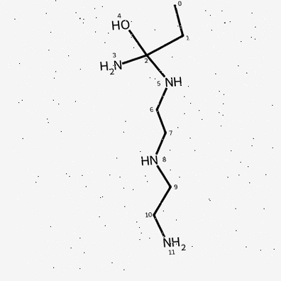 CCC(N)(O)NCCNCCN